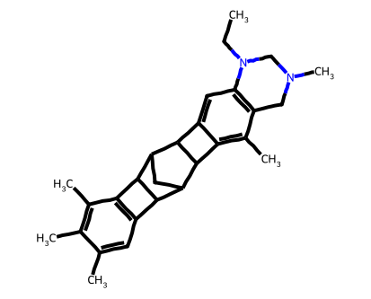 CCN1CN(C)Cc2c1cc1c(c2C)C2C3CC(C12)C1c2c(cc(C)c(C)c2C)C31